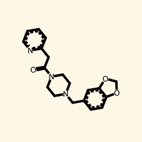 O=C(Cc1ccccn1)N1CCN(Cc2ccc3c(c2)OCO3)CC1